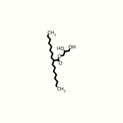 CCCCCCCCC(CCCCCCCC)C(=O)OCC(O)CO